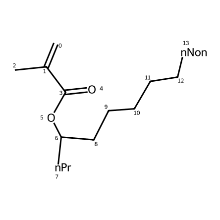 C=C(C)C(=O)OC(CCC)CCCCCCCCCCCCCC